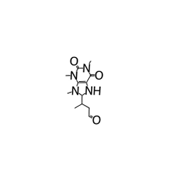 CC(CC=O)C1Nc2c(n(C)c(=O)n(C)c2=O)N1C